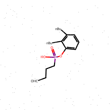 CCCCc1cccc(OP(=O)(O)CCCC=O)c1CCCC